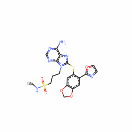 CC(C)(C)NS(=O)(=O)CCCn1c(Sc2cc3c(cc2-c2ncco2)OCO3)nc2c(N)ncnc21